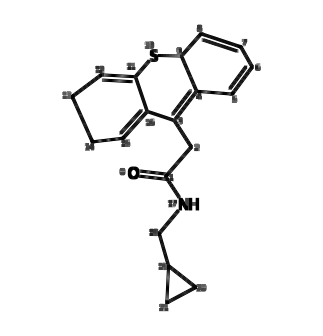 O=C(CC1=C2C=CC=CC2SC2=CCCC=C21)NCC1CC1